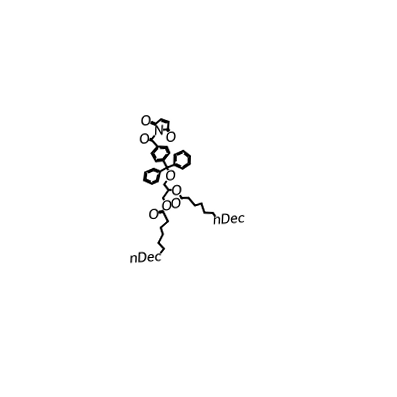 CCCCCCCCCCCCCCCC(=O)OCC(COC(c1ccccc1)(c1ccccc1)c1ccc(C(=O)N2C(=O)C=CC2=O)cc1)OC(=O)CCCCCCCCCCCCCCC